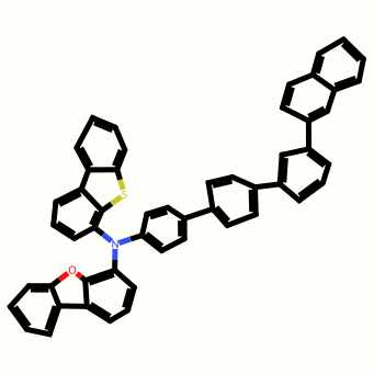 c1cc(-c2ccc(-c3ccc(N(c4cccc5c4oc4ccccc45)c4cccc5c4sc4ccccc45)cc3)cc2)cc(-c2ccc3ccccc3c2)c1